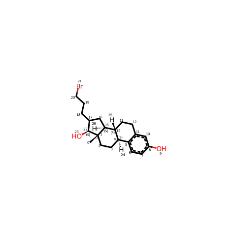 C[C@]12CC[C@@H]3c4ccc(O)cc4CC[C@H]3[C@@H]1CC(CCCBr)[C@@H]2O